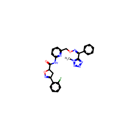 Cn1nnnc1C(=NOCc1cccc(NC(=O)C2CC(c3ccccc3F)=NO2)n1)c1ccccc1